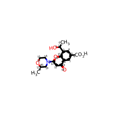 CC(O)c1cc(C(=O)O)cc2c(=O)cc(N3CCO[C@H](C)C3)oc12